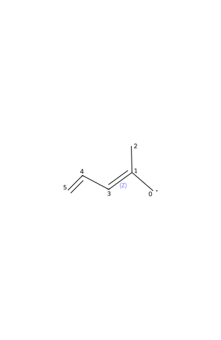 [CH2]/C(C)=C/C=C